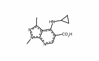 Cc1nn(C)c2ncc(C(=O)O)c(NC3CC3)c12